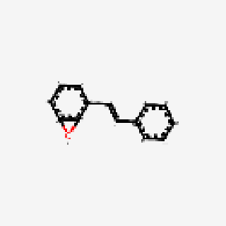 C(=Cc1cccc2c1O2)c1ccccc1